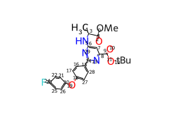 COC(=O)[C@H](C)Nc1cc(C(=O)OC(C)(C)C)nc(-c2ccc(Oc3ccc(F)cc3)cc2)n1